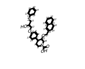 O=C(O)N1CCC(c2ccc(OCC(O)CSc3ccccc3)cc2)C(OCc2ccc3ccccc3c2)C1